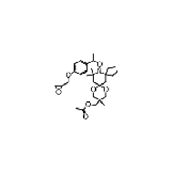 CCC1(CC)CC2(CC(C)(C)N1OC(C)c1ccc(OCC3CO3)cc1)OCC(C)(COC(C)=O)CO2